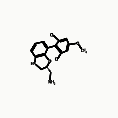 NC[C@@H]1CNc2cccc(-c3c(Cl)cc(OC(F)(F)F)cc3Cl)c2O1